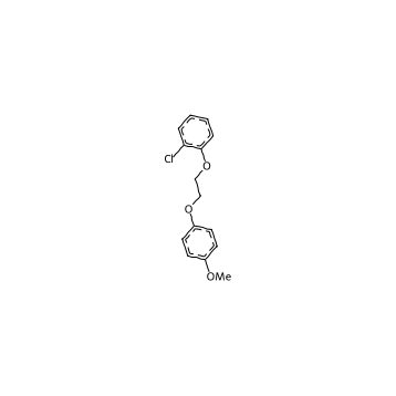 COc1ccc(OCCOc2ccccc2Cl)cc1